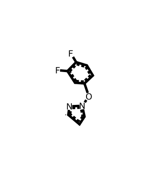 Fc1ccc(On2cc[c]n2)cc1F